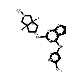 Cc1cc(Nc2nc(N[C@@H]3C[C@@H]4CN(C)C[C@@H]4C3)nc3sccc23)n[nH]1